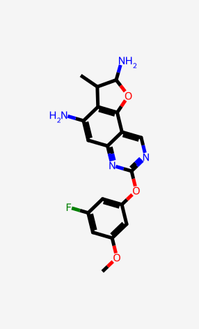 COc1cc(F)cc(Oc2ncc3c4c(c(N)cc3n2)C(C)C(N)O4)c1